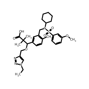 CCn1cc(COC(c2ccc(C)c(CN(C3CCCCC3)S(=O)(=O)c3cccc(OC)c3)c2)C(C)(C)C(=O)O)nn1